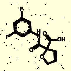 O=C(O)C1(C(=O)Nc2cc(F)cc(F)c2)C=CCO1